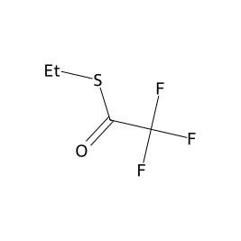 CCSC(=O)C(F)(F)F